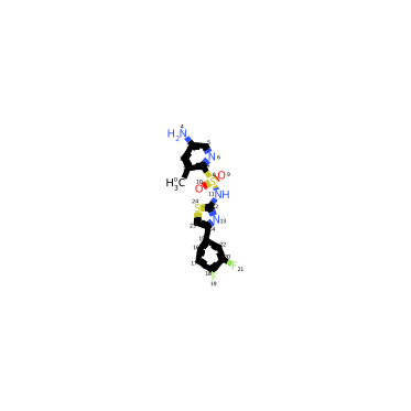 Cc1cc(N)cnc1S(=O)(=O)Nc1nc(-c2ccc(F)c(F)c2)cs1